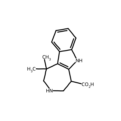 CC1(C)CNCC(C(=O)O)c2[nH]c3ccccc3c21